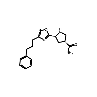 NC(=O)[C@@H]1CN[C@H](c2nc(CCCc3ccccc3)no2)C1